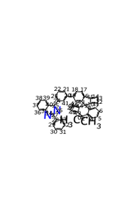 CC1(C)c2ccccc2C2(c3ccccc3-c3ccc(-c4cccc(-c5nc(-c6ccccc6)nc6ccccc56)c4)cc32)c2ccccc21